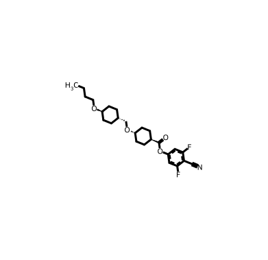 CCCCO[C@H]1CC[C@H](CO[C@H]2CC[C@H](C(=O)Oc3cc(F)c(C#N)c(F)c3)CC2)CC1